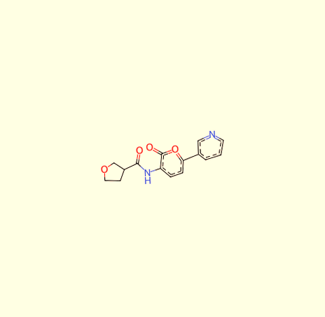 O=C(Nc1ccc(-c2cccnc2)oc1=O)C1CCOC1